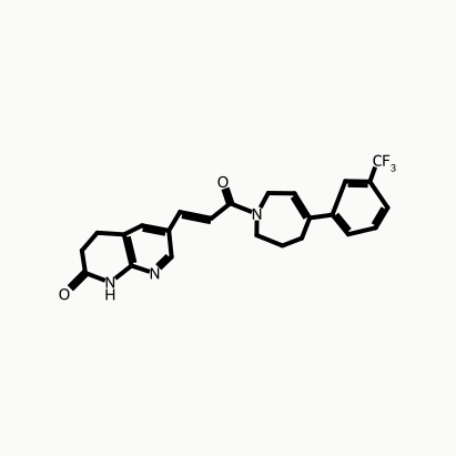 O=C1CCc2cc(/C=C/C(=O)N3CC=C(c4cccc(C(F)(F)F)c4)CCC3)cnc2N1